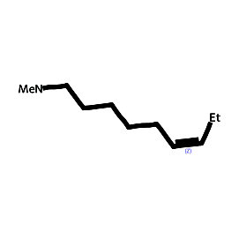 CC/C=C\CCCCCNC